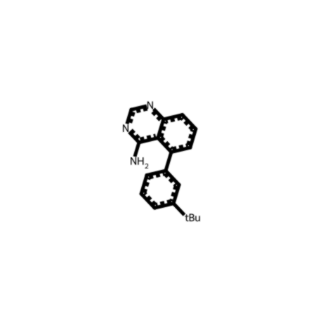 CC(C)(C)c1cccc(-c2cccc3ncnc(N)c23)c1